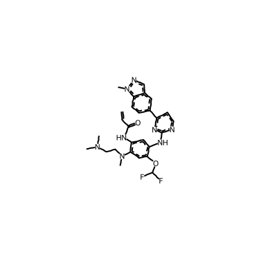 C=CC(=O)Nc1cc(Nc2nccc(-c3ccc4c(cnn4C)c3)n2)c(OC(F)F)cc1N(C)CCN(C)C